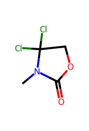 CN1C(=O)OCC1(Cl)Cl